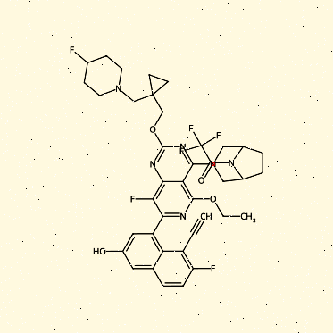 C#Cc1c(F)ccc2cc(O)cc(-c3nc(OCC)c4c(N5CC6CCC(C5)N6C(=O)C(F)(F)F)nc(OCC5(CN6CCC(F)CC6)CC5)nc4c3F)c12